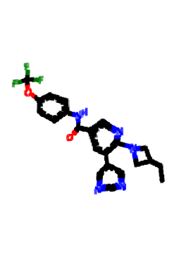 CCC1CN(c2ncc(C(=O)Nc3ccc(OC(F)(F)F)cc3)cc2-c2cncnc2)C1